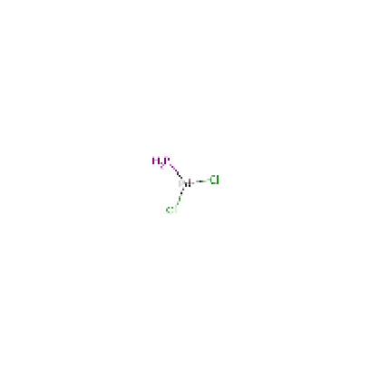 [PH2][Pd]([Cl])[Cl]